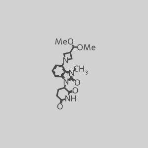 COC(OC)C1CN(c2cccc3c2n(C)c(=O)n3C2CCC(=O)NC2=O)C1